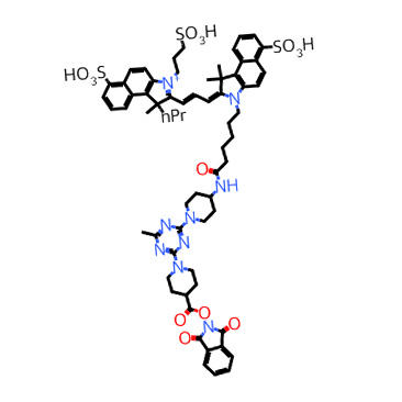 CCCC1(C)C(/C=C/C=C2/N(CCCCCC(=O)NC3CCN(c4nc(C)nc(N5CCC(C(=O)ON6C(=O)c7ccccc7C6=O)CC5)n4)CC3)c3ccc4c(S(=O)(=O)O)cccc4c3C2(C)C)=[N+](CCCS(=O)(=O)O)c2ccc3c(S(=O)(=O)O)cccc3c21